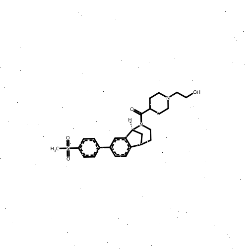 CS(=O)(=O)c1ccc(-c2ccc3c(c2)[C@@H]2CC3CCN2C(=O)C2CCN(CCO)CC2)cc1